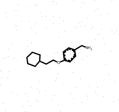 NCc1ccc(OCCC2CCCCC2)cc1